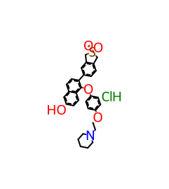 Cl.O=S1(=O)Cc2ccc(-c3ccc4cc(O)ccc4c3Oc3ccc(OCCN4CCCCC4)cc3)cc2C1